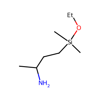 CCO[Si](C)(C)CCC(C)N